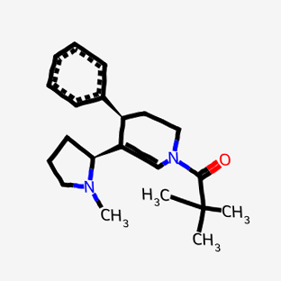 CN1CCC[C@H]1C1=CN(C(=O)C(C)(C)C)CC[C@@H]1c1ccccc1